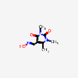 Cc1c(C=NO)c(=O)n(C)c(=O)n1C